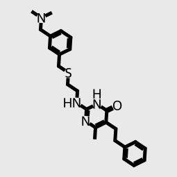 Cc1nc(NCCSCc2cccc(CN(C)C)c2)[nH]c(=O)c1CCc1ccccc1